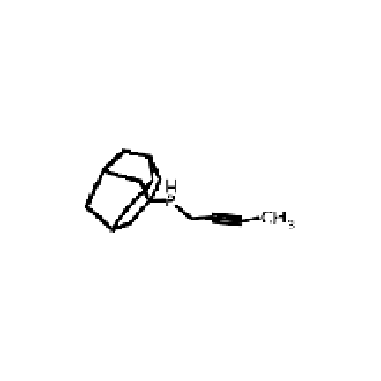 CC#CCPC12CC3CC(CC(C3)C1)C2